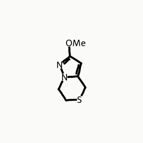 COc1cc2n(n1)CCSC2